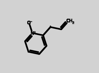 C=C[CH]c1cccc[n+]1[O-]